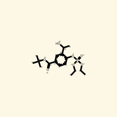 CCOP(=O)(OCC)Oc1ccc(C(=O)OC(C)(C)C)cc1C(C)O